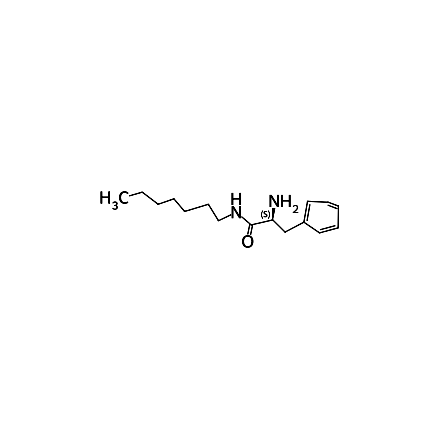 CCCCCCCNC(=O)[C@@H](N)Cc1ccccc1